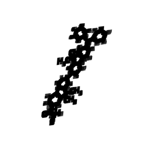 CC1(C)c2cc(-c3ccc4c(c3)C(C)(C)c3cc(P(=O)=[SH](=S)I)ccc3-4)ccc2-c2ccc(N(c3ccccc3)c3ccccc3)cc21